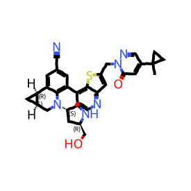 CC1(c2cnn(Cc3cc4nccc(-c5cc(C#N)cc6c5N([C@@H]5CN[C@@H](CO)C5)C[C@H]5C[C@@H]65)c4s3)c(=O)c2)CC1